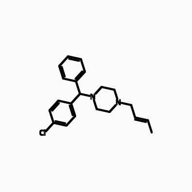 C/C=C/CN1CCN(C(c2ccccc2)c2ccc(Cl)cc2)CC1